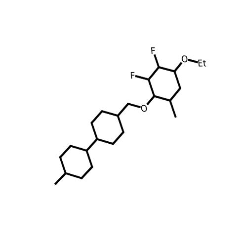 CCOC1CC(C)C(OCC2CCC(C3CCC(C)CC3)CC2)C(F)C1F